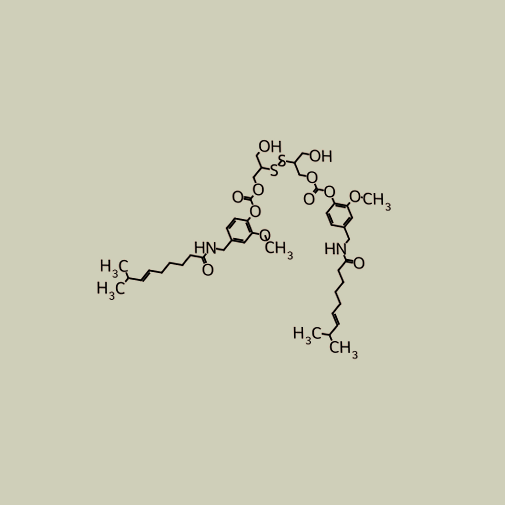 COc1cc(CNC(=O)CCCC/C=C/C(C)C)ccc1OC(=O)OCC(CO)SSC(CO)COC(=O)Oc1ccc(CNC(=O)CCCC/C=C/C(C)C)cc1OC